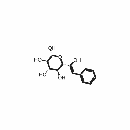 OC(=Cc1ccccc1)[C@H]1O[C@@H](O)[C@H](O)[C@@H](O)[C@@H]1O